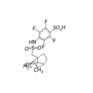 CC1(C)C2CCC1(CS(=O)(=O)Nc1c(F)c(F)c(S(=O)(=O)O)c(F)c1F)C(=O)C2